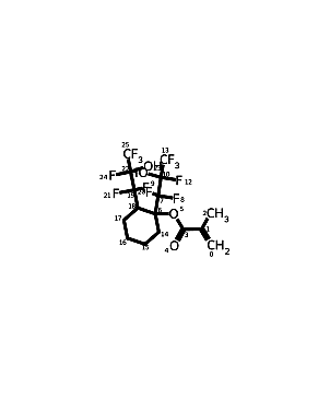 C=C(C)C(=O)OC1(C(F)(F)C(O)(F)C(F)(F)F)CCCCC1C(F)(F)C(O)(F)C(F)(F)F